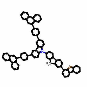 c1ccc2c(c1)cc(-c1ccc(-c3ccc4c(c3)c3cc(-c5ccc(-c6cc7ccccc7c7ccccc67)cc5)ccc3n4-c3ccc4c(c3)[SiH2]c3cc(-c5cccc6c5sc5ccccc56)ccc3-4)cc1)c1ccccc12